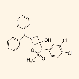 CS(=O)(=O)C(c1ccc(Cl)c(Cl)c1)C1(O)CN(C(c2ccccc2)c2ccccc2)C1